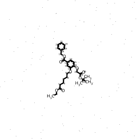 CCOC(=O)CCCCCOc1cc(C(=O)OCc2ccccc2)ccc1OCC(=O)OC(C)(C)C